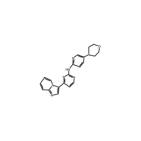 c1ccn2c(-c3ccnc(Nc4ccc(N5CCOCC5)cn4)n3)cnc2c1